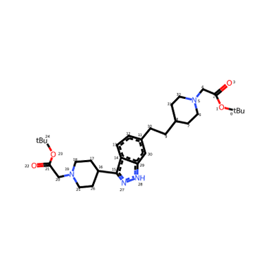 CC(C)(C)OC(=O)CN1CCC(CCc2ccc3c(C4CCN(CC(=O)OC(C)(C)C)CC4)n[nH]c3c2)CC1